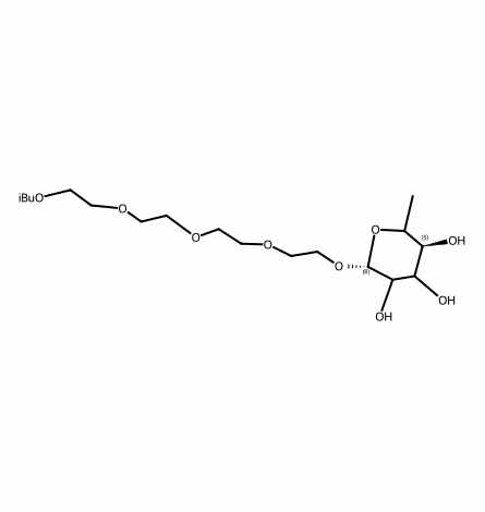 CC(C)COCCOCCOCCOCCO[C@@H]1OC(C)[C@@H](O)C(O)C1O